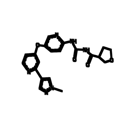 Cn1cc(-c2cc(Oc3ccc(NC(=O)NC(=O)C4CCOC4)nc3)ccn2)cn1